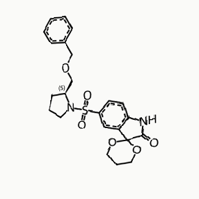 O=C1Nc2ccc(S(=O)(=O)N3CCC[C@H]3COCc3ccccc3)cc2C12OCCCO2